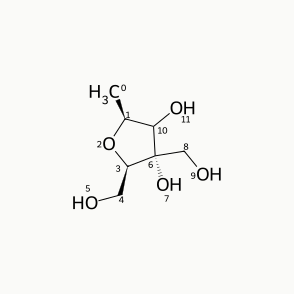 C[C@@H]1O[C@H](CO)[C@](O)(CO)C1O